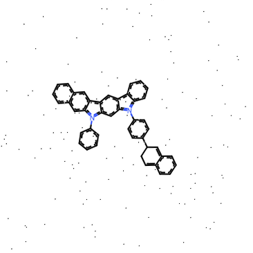 C1=c2ccccc2=CC(c2ccc(-n3c4ccccc4c4cc5c6cc7ccccc7cc6n(-c6ccccc6)c5cc43)cc2)C1